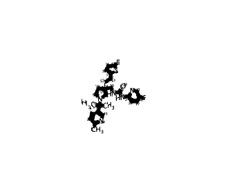 Cc1ccc(C(C)(C)N2CC[C@@](CCc3ccc(F)s3)(CNC(=O)Nc3ccc(F)cn3)C2)cn1